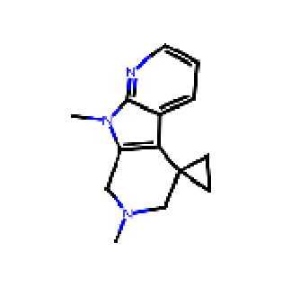 CN1Cc2c(c3cccnc3n2C)C2(CC2)C1